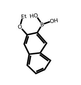 CCOc1cc2ccccc2cc1B(O)O